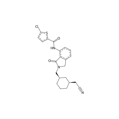 N#CC[C@H]1CCC[C@@H](CN2Cc3cccc(NC(=O)c4ccc(Cl)s4)c3C2=O)C1